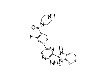 Nc1ncc(-c2ccc(C(=O)N3CCNCC3)c(F)c2)nc1-c1nc2ccccc2[nH]1